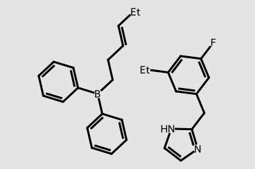 CCC=CCCB(c1ccccc1)c1ccccc1.CCc1cc(F)cc(Cc2ncc[nH]2)c1